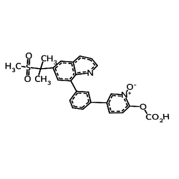 CC(C)(c1cc(-c2cccc(-c3ccc(OC(=O)O)[n+]([O-])c3)c2)c2ncccc2c1)S(C)(=O)=O